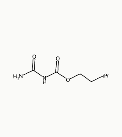 CC(C)CCOC(=O)NC(N)=O